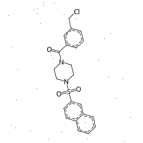 O=C(c1cccc(CCl)c1)N1CCN(S(=O)(=O)c2ccc3ccccc3c2)CC1